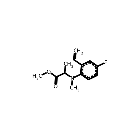 C=Cc1cc(F)ccc1N(C)C(C)C(=O)OC